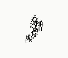 C[C@@H](N[C@@H]1CCCc2c1[nH]c1ccc(-c3cnc(F)nc3)cc21)c1ccccc1